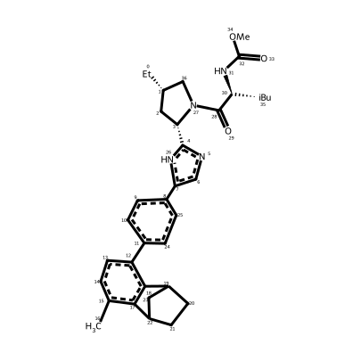 CC[C@H]1C[C@@H](c2ncc(-c3ccc(-c4ccc(C)c5c4C4CCC5C4)cc3)[nH]2)N(C(=O)[C@@H](NC(=O)OC)[C@@H](C)CC)C1